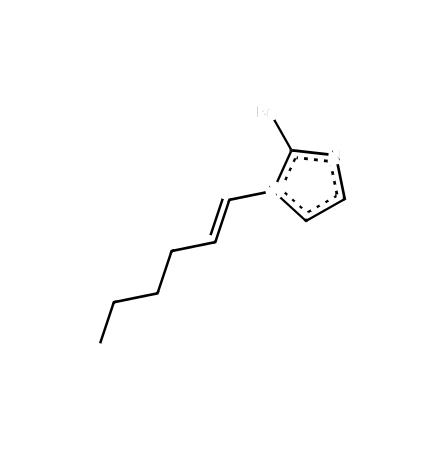 CCCCC=Cn1ccnc1Br